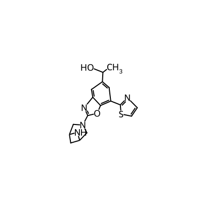 CC(O)c1cc(-c2nccs2)c2oc(N3CC4CC(C3)N4)nc2c1